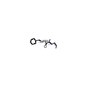 C/C=C\C=C(/C)C(=O)N/N=C/c1ccccc1